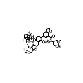 COC1=C(CN2O[C@@H](CO)[C@@H]([C@H](C)O)[C@H]2C(=O)N[C@H]2C[C@H]3C[C@@H]([C@@H]2C)C3(C)C)C=CCC1C1C=C(C(=O)N[C@H](CN(C)C)CC(C)(C)C)C2=C(CCO2)C1